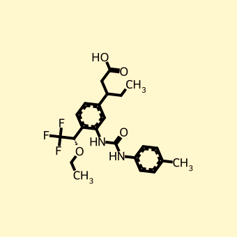 CCO[C@@H](c1ccc(C(CC)CC(=O)O)cc1NC(=O)Nc1ccc(C)cc1)C(F)(F)F